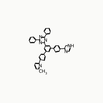 Cc1cccc(-c2ccc(-c3cc(-c4ccc(C5=NC=CNC5)cc4)cc(-c4nc(-c5ccccc5)nc(-c5ccccc5)n4)c3)cc2)n1